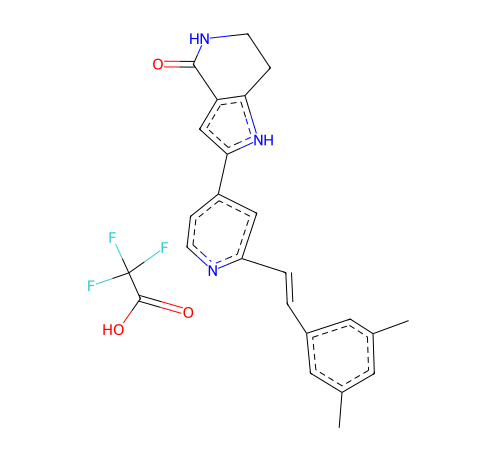 Cc1cc(C)cc(C=Cc2cc(-c3cc4c([nH]3)CCNC4=O)ccn2)c1.O=C(O)C(F)(F)F